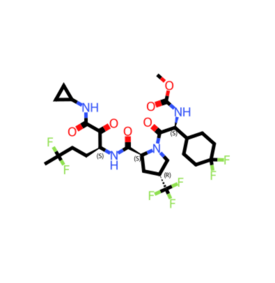 COC(=O)N[C@H](C(=O)N1C[C@H](C(F)(F)F)C[C@H]1C(=O)N[C@@H](CCC(C)(F)F)C(=O)C(=O)NC1CC1)C1CCC(F)(F)CC1